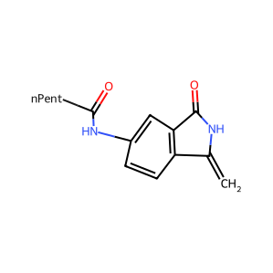 C=C1NC(=O)c2cc(NC(=O)CCCCC)ccc21